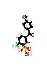 O=C(c1ccc(Br)cc1)c1ccc(Cl)c(S(=O)(=O)O)c1